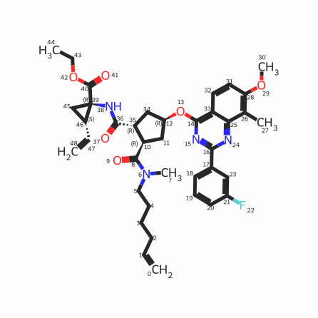 C=CCCCCN(C)C(=O)[C@@H]1C[C@H](Oc2nc(-c3cccc(F)c3)nc3c(C)c(OC)ccc23)C[C@H]1C(=O)N[C@]1(C(=O)OCC)C[C@H]1C=C